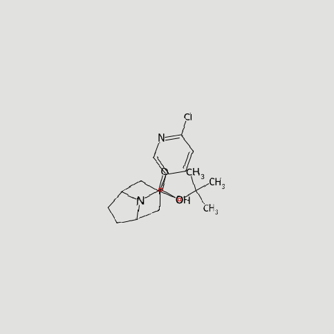 CC(C)(C)OC(=O)N1C2CCC1CC(O)(c1ccc(Cl)nc1)C2